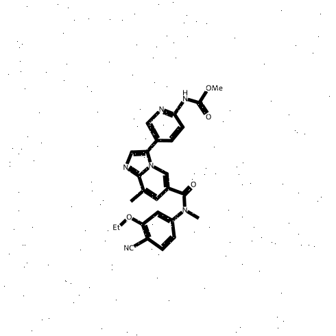 CCOc1cc(N(C)C(=O)c2cc(C)c3ncc(-c4ccc(NC(=O)OC)nc4)n3c2)ccc1C#N